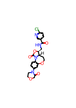 O=C(NC[C@@H]1OC(=O)N2c3ccc(N4CCOCC4=O)cc3OCC[C@@H]12)c1ccc(Cl)nc1